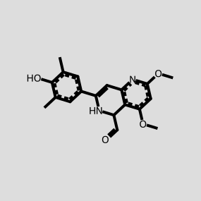 COc1cc(OC)c2c(n1)C=C(c1cc(C)c(O)c(C)c1)NC2C=O